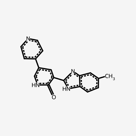 Cc1ccc2[nH]c(-c3cc(-c4ccncc4)c[nH]c3=O)nc2c1